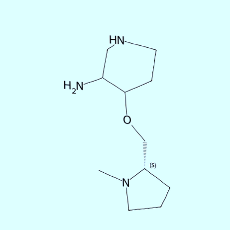 CN1CCC[C@H]1COC1CCNCC1N